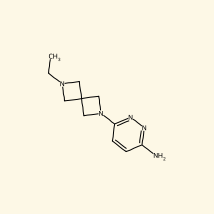 CCN1CC2(C1)CN(c1ccc(N)nn1)C2